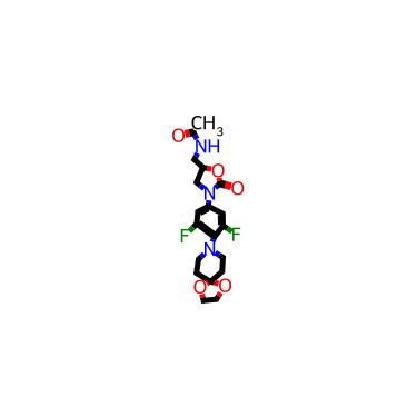 CC(=O)NCC1CN(c2cc(F)c(N3CCC4(CC3)OCCO4)c(F)c2)C(=O)O1